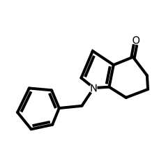 O=C1CCCc2c1ccn2Cc1ccccc1